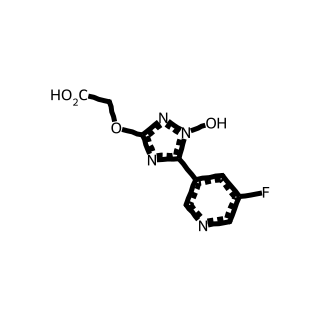 O=C(O)COc1nc(-c2cncc(F)c2)n(O)n1